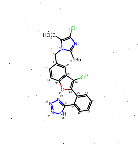 CCCCc1nc(Cl)c(C(=O)O)n1Cc1ccc2oc(-c3ccccc3-c3nnn[nH]3)c(Cl)c2c1